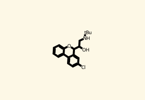 CC(C)(C)NCC(O)C1Oc2ccccc2-c2ccc(Cl)cc21